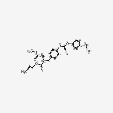 C=CCOC(=O)[C@H](Cc1ccc(OC(=O)Oc2ccc(NO)cc2)cc1)NC(=O)OC(C)(C)C